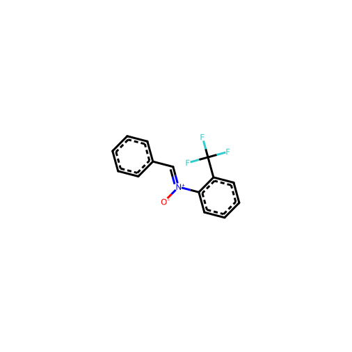 [O-][N+](=Cc1ccccc1)c1ccccc1C(F)(F)F